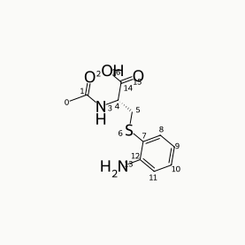 CC(=O)N[C@@H](CSc1ccccc1N)C(=O)O